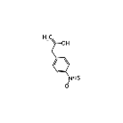 C=C(O)Cc1ccc([N+]([O-])=S)cc1